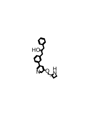 O[C@@H](Cc1ccccc1)Cc1cccc(-c2cncc(OC[C@@H]3CCN3)c2)c1